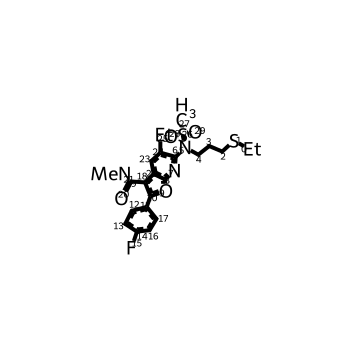 CCSCCCN(c1nc2oc(-c3ccc(F)cc3)c(C(=O)NC)c2cc1CC)S(C)(=O)=O